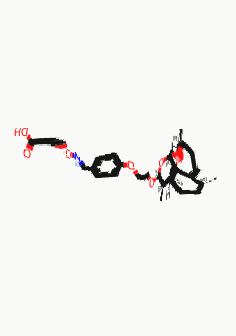 C[C@H]1[C@@H](OCCOc2ccc(/C=N/OCC(=O)O)cc2)O[C@@H]2O[C@@]3(C)CCC4[C@H](C)CC[C@@H]1[C@]42OO3